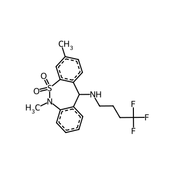 Cc1ccc2c(c1)S(=O)(=O)N(C)c1ccccc1C2NCCCC(F)(F)F